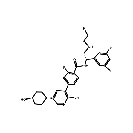 Nc1ncc([C@H]2CC[C@H](O)CC2)cc1-c1ccc(C(=O)N[C@H](CNCCF)c2cc(F)cc(Br)c2)c(F)c1